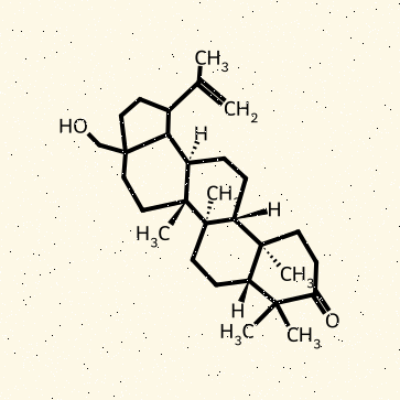 C=C(C)C1CCC2(CO)CC[C@]3(C)[C@H](CC[C@@H]4[C@@]5(C)CCC(=O)C(C)(C)[C@@H]5CC[C@]43C)C12